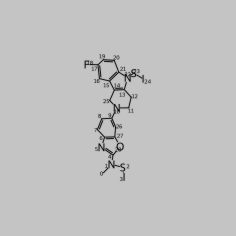 CN(SI)c1nc2ccc(N3CCc4c(c5cc(F)ccc5n4SI)C3)cc2o1